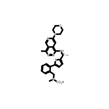 Cc1nnc(N[C@H](C)c2ccc(-c3ccccc3CN(C)C(=O)O)s2)c2cc(N3CCOCC3)ncc12